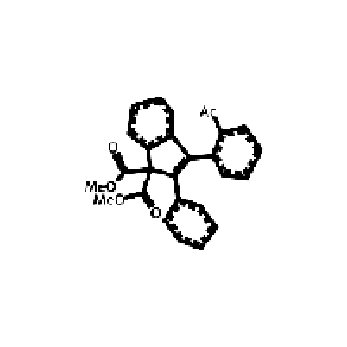 COC(=O)C1(C(=O)OC)C(c2ccccc2)=C(c2ccccc2C(C)=O)c2ccccc21